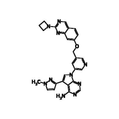 Cn1ccc(-c2cn(-c3cncc(COc4ccc5cnc(N6CCC6)nc5c4)c3)c3ncnc(N)c23)n1